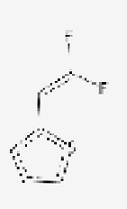 FC(F)=Cc1c[c]cs1